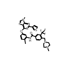 Cc1ccc(Oc2nc(-c3ccsc3)nc3c2ncn3C)cc1NC(=O)c1ccc(CN2CCN(C)CC2)c(C(F)(F)F)c1